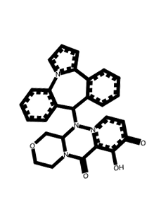 O=C1c2c(O)c(=O)ccn2N(C2c3ccccc3-c3cccn3-c3ccccc32)C2COCCN12